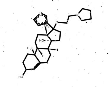 C[C@]12CCC(O)C=C1CC[C@@H]1[C@H]2CC[C@]2(C)C(OCCN3CCCC3)(c3ccoc3)CC[C@@]12O